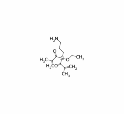 C=C(C)C(=O)[Si](CCCN)(OCC)C(=O)C(=C)C